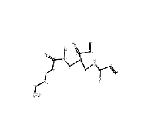 C=CC(=O)NCN(CN(CC)C(=O)CCSCC(=O)O)C(=O)C=C